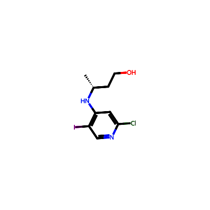 C[C@H](CCO)Nc1cc(Cl)ncc1I